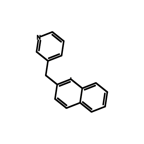 [c]1c(Cc2cccnc2)ccc2ccccc12